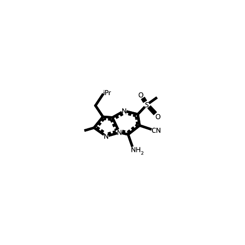 Cc1nn2c(N)c(C#N)c(S(C)(=O)=O)nc2c1CC(C)C